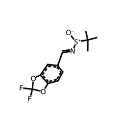 CC(C)(C)[S+]([O-])/N=C/c1ccc2c(c1)OC(F)(F)O2